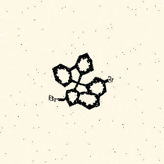 Brc1cc2c3c(ccc4cc(Br)cc(c43)C23c2ccccc2-c2ccccc23)c1